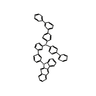 c1ccc(-c2ccc(N(c3ccc(-c4cccc(-c5ccccc5)c4)cc3)c3cccc(-c4cccc(-n5c6ccccc6c6cc7ccccc7cc65)c4)c3)cc2)cc1